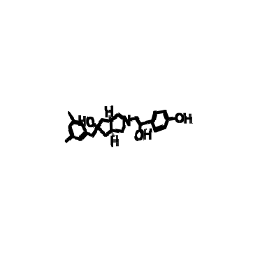 Cc1cc(C)cc(C[C@]2(O)C[C@H]3CN(CC(O)c4ccc(O)cc4)C[C@H]3C2)c1